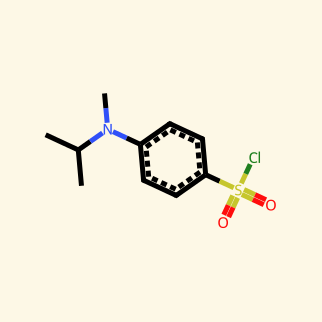 CC(C)N(C)c1ccc(S(=O)(=O)Cl)cc1